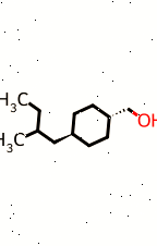 CCC(C)C[C@H]1CC[C@H](CO)CC1